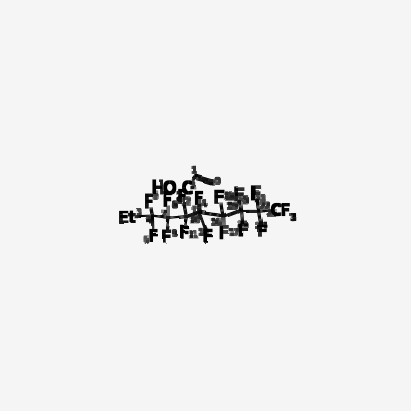 C=CC(=O)O.CCC(F)(F)C(F)(F)C(F)(F)C(F)(F)C(F)(F)C(F)(F)C(F)(F)C(F)(F)F